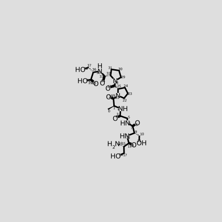 C[C@H](NC(=O)CNC(=O)[C@H](CO)NC(=O)[C@@H](N)CO)C(=O)N1CCC[C@H]1C(=O)N1CCC[C@H]1C(=O)N[C@@H](CO)C(=O)O